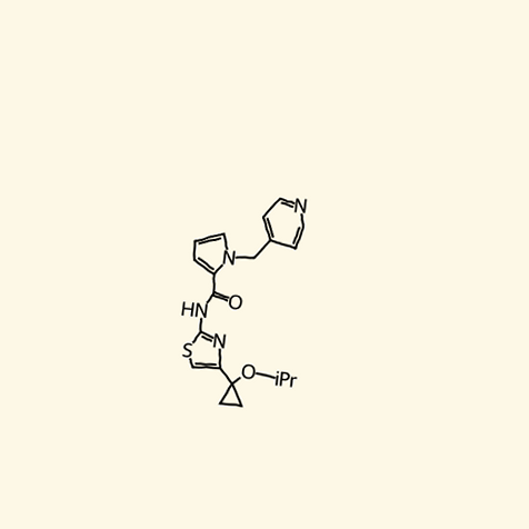 CC(C)OC1(c2csc(NC(=O)c3cccn3Cc3ccncc3)n2)CC1